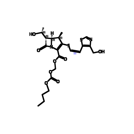 CCCCOC(=O)OCOC(=O)C1=C(S/C=C\c2scnc2CO)[C@H](C)[C@@H]2[C@@H]([C@@H](C)O)C(=O)N12